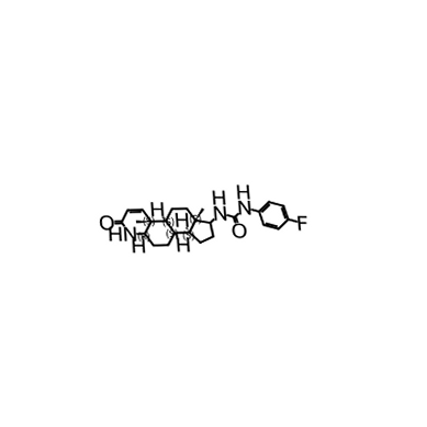 C[C@]12C=CC(=O)N[C@@H]1CC[C@@H]1[C@@H]2CC[C@]2(C)C(NC(=O)Nc3ccc(F)cc3)CC[C@@H]12